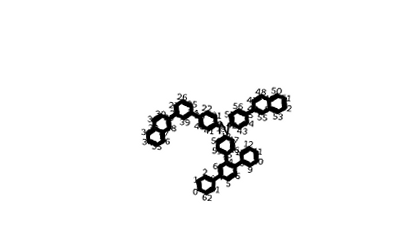 c1ccc(-c2ccc(-c3ccccc3)c(-c3ccc(N(c4ccc(-c5cccc(-c6ccc7ccccc7c6)c5)cc4)c4ccc(-c5ccc6ccccc6c5)cc4)cc3)c2)cc1